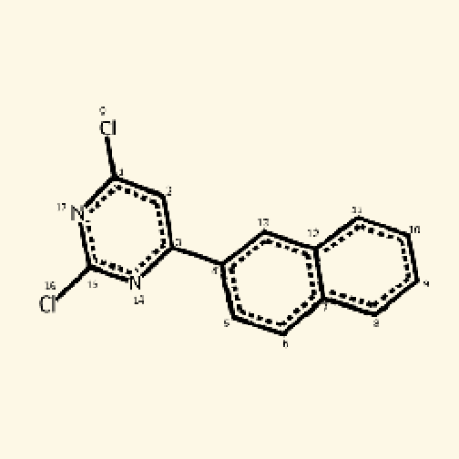 Clc1cc(-c2ccc3ccccc3c2)nc(Cl)n1